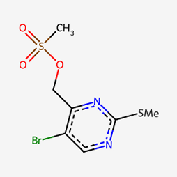 CSc1ncc(Br)c(COS(C)(=O)=O)n1